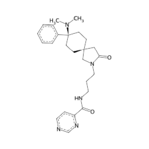 CN(C)[C@]1(c2ccccc2)CC[C@@]2(CC1)CC(=O)N(CCCNC(=O)c1ccncn1)C2